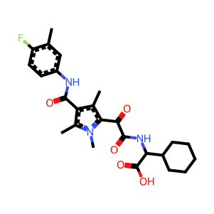 Cc1cc(NC(=O)c2c(C)c(C(=O)C(=O)NC(C(=O)O)C3CCCCC3)n(C)c2C)ccc1F